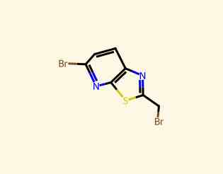 BrCc1nc2ccc(Br)nc2s1